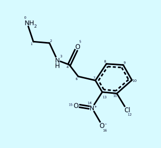 NCCNC(=O)Cc1cccc(Cl)c1[N+](=O)[O-]